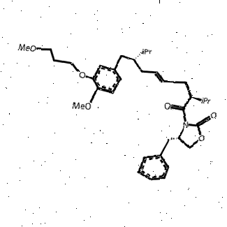 COCCCOc1cc(C[C@@H](C/C=C/C[C@H](C(=O)N2C(=O)OC[C@@H]2Cc2ccccc2)C(C)C)C(C)C)ccc1OC